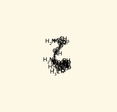 CSSC(C)c1ccccc1C(=O)OC1C[C@H](n2cc(C#CCNC(=O)COCCOC(=O)c3ccccc3C(C)SSCCN)c(N)nc2=O)O[C@@H]1COP(=O)(O)OP(=O)(O)OP(=O)(O)O